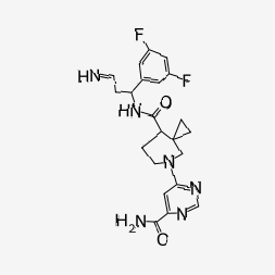 N=CCC(NC(=O)C1CCN(c2cc(C(N)=O)ncn2)CC12CC2)c1cc(F)cc(F)c1